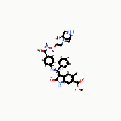 COC(=O)c1cc2c(cc1C)/C(=C(/Nc1ccc(C(=O)N(C)OCCN3CC4C[C@H]3CN4)cc1)c1ccccc1)C(=O)N2